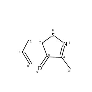 C=CC.CC1=NSCC1=O